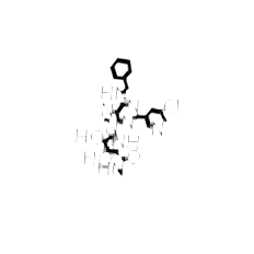 CNC(=O)[C@H]1N[C@@H](n2cnc3c(NCc4ccccc4)nc(-c4cncc(Cl)c4)nc32)[C@H](O)[C@@H]1O